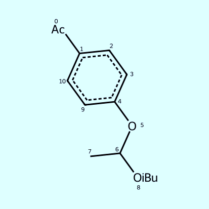 CC(=O)c1ccc(OC(C)OCC(C)C)cc1